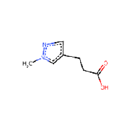 Cn1cc(CCC(=O)O)cn1